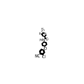 CC1=NCC(C(=O)N[C@H]2CC[C@H](Oc3ccc(C#N)c(Cl)c3)CC2)C=C1F